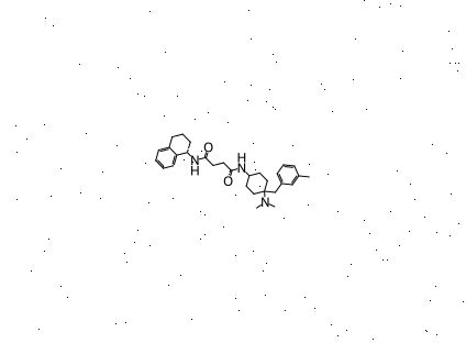 Cc1cccc(CC2(N(C)C)CCC(NC(=O)CCC(=O)NC3CCCc4ccccc43)CC2)c1